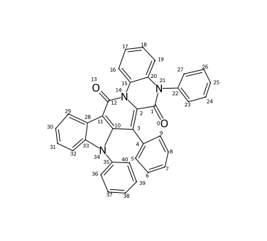 O=c1c2c(-c3ccccc3)c3c(c(=O)n2c2ccccc2n1-c1ccccc1)c1ccccc1n3-c1ccccc1